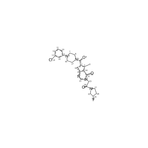 Cc1c(C(=O)N2CCN(c3cccc(Cl)c3)CC2)sc2ncn(CC(=O)N3CCC(F)C3)c(=O)c12